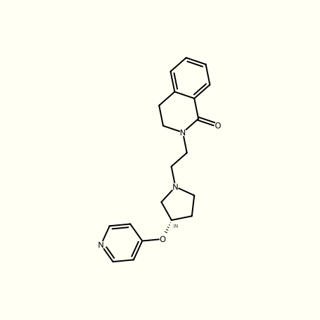 O=C1c2ccccc2CCN1CCN1CC[C@H](Oc2ccncc2)C1